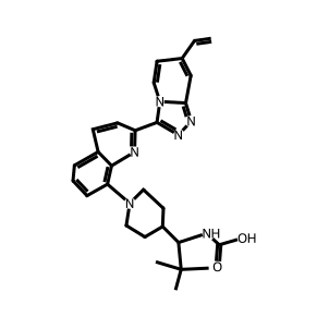 C=Cc1ccn2c(-c3ccc4cccc(N5CCC(C(NC(=O)O)C(C)(C)C)CC5)c4n3)nnc2c1